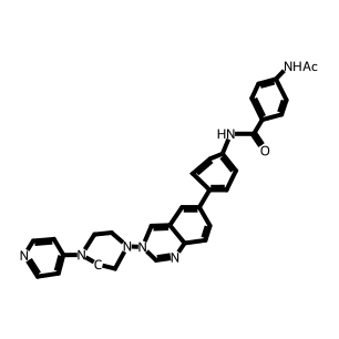 CC(=O)Nc1ccc(C(=O)Nc2ccc(C3=CC4=CN(N5CCN(c6ccncc6)CC5)C=NC4C=C3)cc2)cc1